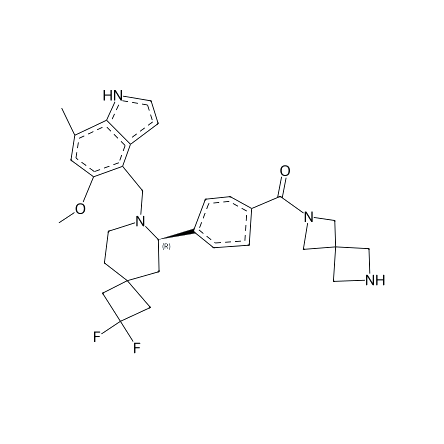 COc1cc(C)c2[nH]ccc2c1CN1CCC2(C[C@@H]1c1ccc(C(=O)N3CC4(CNC4)C3)cc1)CC(F)(F)C2